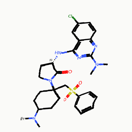 CC(C)N(C)C1CCC(CS(=O)(=O)c2ccccc2)(N2CC[C@H](Nc3nc(N(C)C)nc4ccc(Cl)cc34)C2=O)CC1